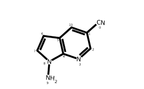 N#Cc1cnc2c(ccn2N)c1